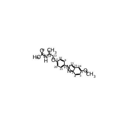 COc1ccc2nn(-c3ccc(OC[C@H](C)NC(=O)O)cc3)cc2c1